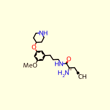 C#CC[C@H](N)C(=O)NCCCc1cc(OC)cc(OC2CCNCC2)c1